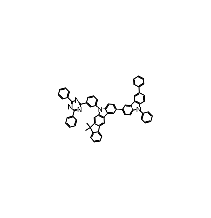 CC1(C)c2ccccc2-c2cc3c4cc(-c5ccc6c(c5)c5cc(-c7ccccc7)ccc5n6-c5ccccc5)ccc4n(-c4cccc(-c5nc(-c6ccccc6)nc(-c6ccccc6)n5)c4)c3cc21